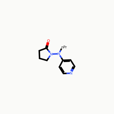 CCCN(c1ccncc1)N1CCCC1=O